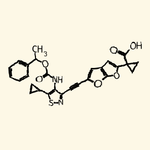 CC(OC(=O)Nc1c(C#Cc2cc3cc(C4(C(=O)O)CC4)oc3o2)nsc1C1CC1)c1ccccc1